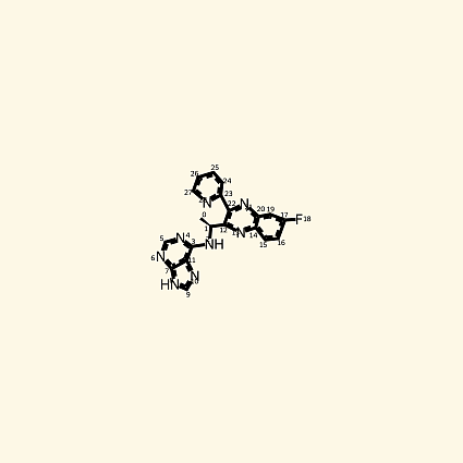 C[C@H](Nc1ncnc2[nH]cnc12)c1nc2ccc(F)cc2nc1-c1ccccn1